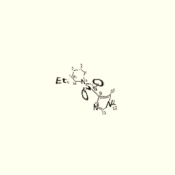 CC[C@@H]1CCCN(S(=O)(=O)c2cn(C)cn2)C1